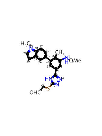 CONc1cc(-c2nnc(SCC=O)[nH]2)cc(-c2ccc3c(ccn3C)c2)c1C